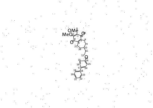 COC1=C(OC)C(=O)C2=C(CCC(CCOc3ccc(-c4ccccc4)cc3)CC2)C1=O